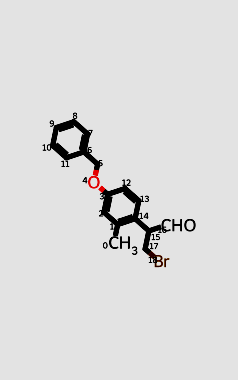 Cc1cc(OCc2ccccc2)ccc1C(C=O)CBr